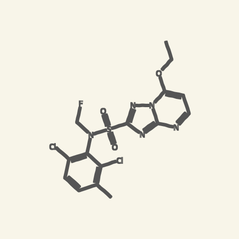 CCOc1ccnc2nc(S(=O)(=O)N(CF)c3c(Cl)ccc(C)c3Cl)nn12